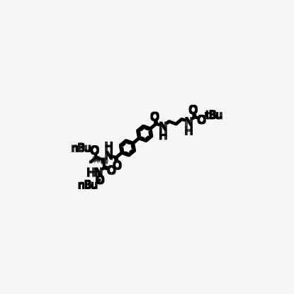 CCCCONC(=O)[C@@H](NC(=O)c1ccc(-c2ccc(C(=O)NCCCNC(=O)OC(C)(C)C)cc2)cc1)[C@@H](C)OCCCC